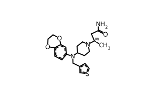 C[C@H](CC(N)=O)N1CCC(N(Cc2ccsc2)c2ccc3c(c2)OCCO3)CC1